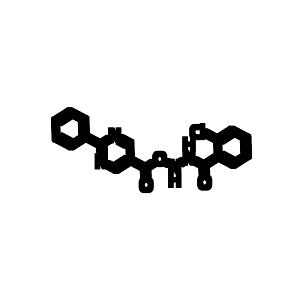 O=C(ONNC(=O)c1ccccc1Cl)c1cnc(-c2ccccc2)nc1